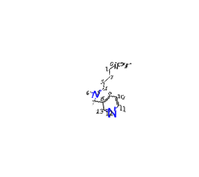 CC(C)CCCCN(C)Cc1cccnc1